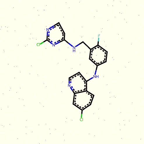 Fc1ccc(Nc2ccnc3cc(Cl)ccc23)cc1CNc1ccnc(Cl)n1